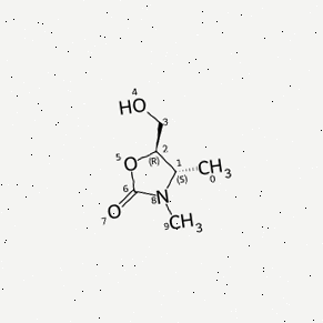 C[C@H]1[C@H](CO)OC(=O)N1C